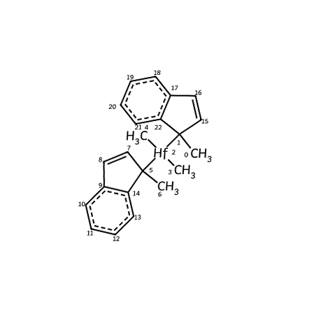 C[C]1([Hf]([CH3])([CH3])[C]2(C)C=Cc3ccccc32)C=Cc2ccccc21